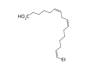 CC/C=C\CCCC/C=C\C/C=C\CCCCC(=O)O